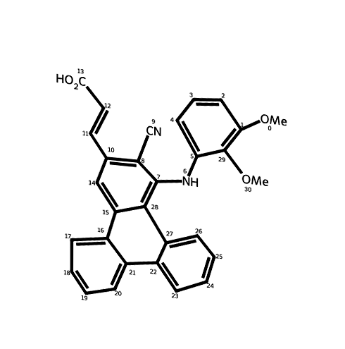 COc1cccc(Nc2c(C#N)c(/C=C/C(=O)O)cc3c4ccccc4c4ccccc4c23)c1OC